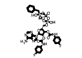 Nc1ncnc2c1ncn2[C@@H]1O[C@H](COP(=O)(O)OP(=O)(O)OP(=O)(O)Cc2ccccc2)C(OC(=O)Nc2ccc(F)cc2)[C@@H]1OC(=O)Nc1ccc(F)cc1